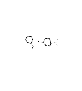 CN(C)c1ccc(/N=N/c2ccccc2[C]=O)cc1